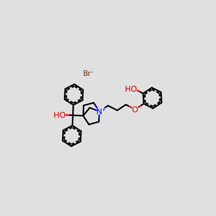 Oc1ccccc1OCCC[N+]12CCC(C(O)(c3ccccc3)c3ccccc3)(CC1)C2.[Br-]